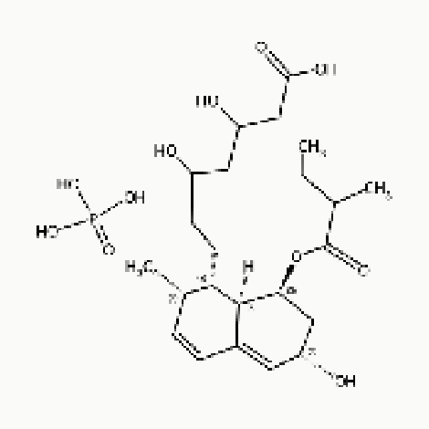 CCC(C)C(=O)O[C@H]1C[C@H](O)C=C2C=C[C@H](C)[C@H](CCC(O)CC(O)CC(=O)O)[C@H]21.O=P(O)(O)O